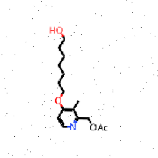 CC(=O)OCc1nccc(OCCCCCCCO)c1C